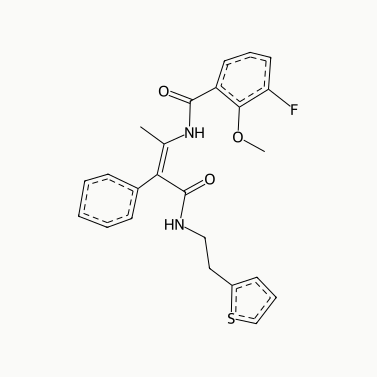 COc1c(F)cccc1C(=O)NC(C)=C(C(=O)NCCc1cccs1)c1ccccc1